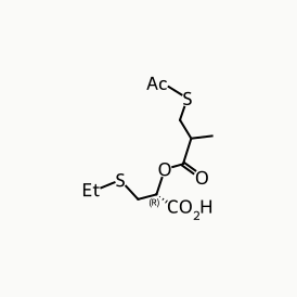 CCSC[C@H](OC(=O)C(C)CSC(C)=O)C(=O)O